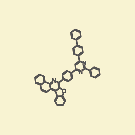 c1ccc(-c2ccc(-c3cc(-c4ccc(-c5nc6c7ccccc7ccc6c6c5oc5ccccc56)cc4)nc(-c4ccccc4)n3)cc2)cc1